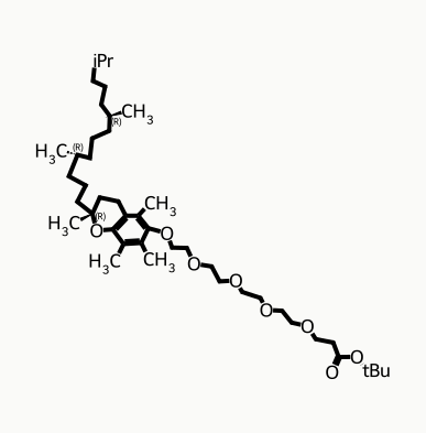 Cc1c(C)c2c(c(C)c1OCCOCCOCCOCCOCCC(=O)OC(C)(C)C)CC[C@@](C)(CCC[C@H](C)CCC[C@H](C)CCCC(C)C)O2